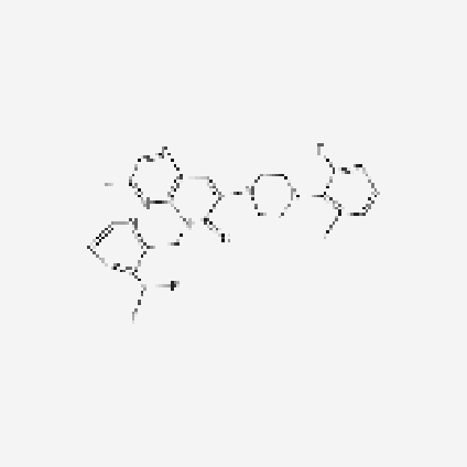 Cc1cnc2cc(N3CCN(c4c(C)cccc4F)CC3)c(=O)n(Cc3ncccc3C(F)F)c2n1